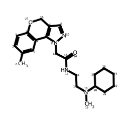 Cc1ccc2c(c1)-c1c(cnn1CC(=O)NCCN(C)C1CCCCC1)CO2